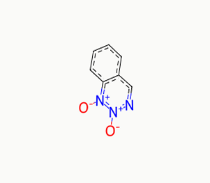 [O-][n+]1ncc2ccccc2[n+]1[O-]